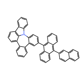 c1ccc2c(c1)-c1cc(-c3c4ccccc4c(-c4ccc5ccccc5c4)c4ccccc34)ccc1-n1c3ccccc3c3cccc-2c31